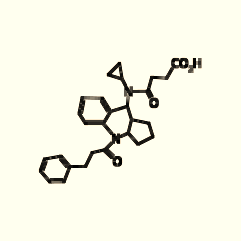 O=C(O)CCC(=O)N(C1CC1)C1c2ccccc2N(C(=O)CCc2ccccc2)C2CCCC21